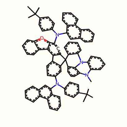 CN1c2ccccc2N2c3ccccc3C3(c4cc(N(c5ccc(C(C)(C)C)cc5)c5cc6ccccc6c6ccccc56)ccc4-c4c3cc(N(c3ccc(C(C)(C)C)cc3)c3cc5ccccc5c5ccccc35)c3oc5ccccc5c43)c3cccc1c32